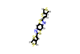 c1c(-c2nc3cc4sc(-c5cc6c(s5)CSC6)nc4cc3s2)sc2c1CSC2